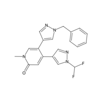 Cn1cc(-c2cnn(Cc3ccccc3)c2)c(-c2cnn(C(F)F)c2)cc1=O